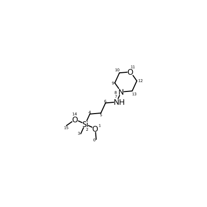 CO[Si](C)(CCCNN1CCOCC1)OC